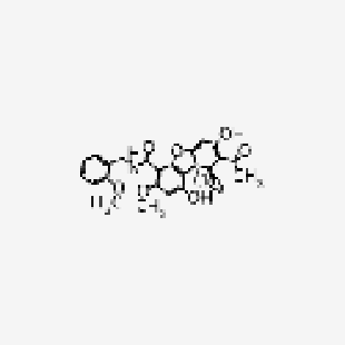 COc1ccccc1CNC(=O)c1c(OC)cc(O)c2c1OC1=CC(O)=C(C(C)=O)C(=O)[C@]12C